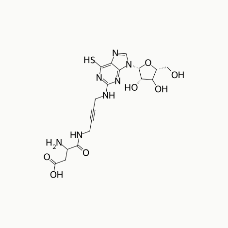 NC(CC(=O)O)C(=O)NCC#CCNc1nc(S)c2ncn([C@@H]3O[C@H](CO)C(O)[C@@H]3O)c2n1